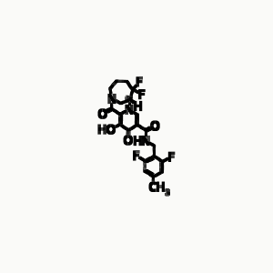 Cc1cc(F)c(CNC(=O)c2cn3c(c(O)c2=O)C(=O)N2CCCC(F)(F)[C@H]3C2)c(F)c1